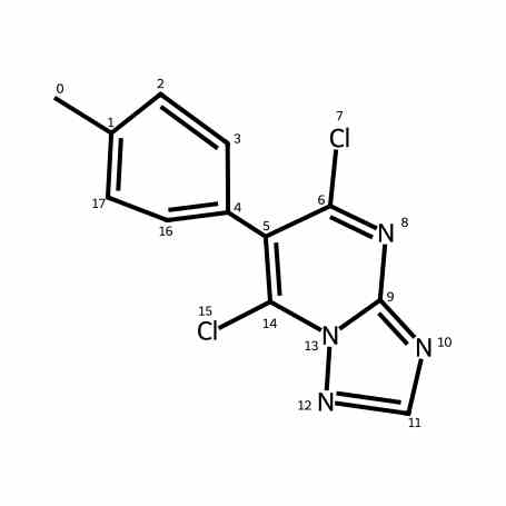 Cc1ccc(-c2c(Cl)nc3ncnn3c2Cl)cc1